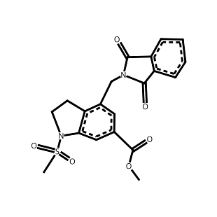 COC(=O)c1cc(CN2C(=O)c3ccccc3C2=O)c2c(c1)N(S(C)(=O)=O)CC2